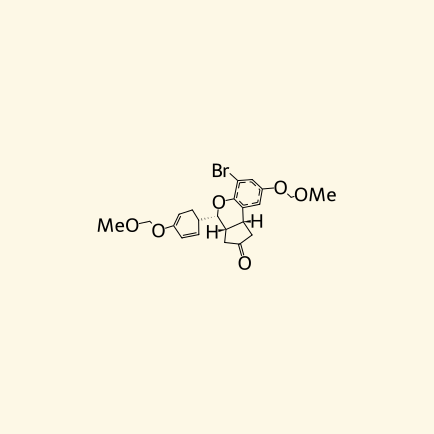 COCOC1=CCC([C@@H]2Oc3c(Br)cc(OCOC)cc3[C@@H]3CC(=O)C[C@@H]32)C=C1